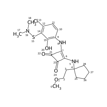 COCCC1(Nc2c(Nc3ccc(Cl)c(SN(C)C)c3O)c(=O)c2=O)CCCC1